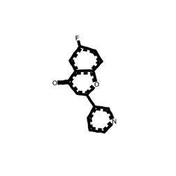 O=c1cc(-c2cccnc2)oc2ccc(F)cc12